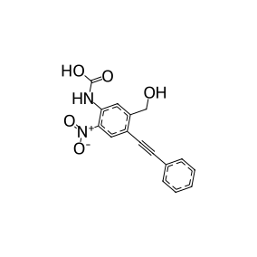 O=C(O)Nc1cc(CO)c(C#Cc2ccccc2)cc1[N+](=O)[O-]